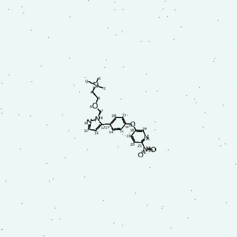 C[Si](C)(C)CCOCn1nccc1-c1ccc(Oc2ccc([N+](=O)[O-])nc2)cc1